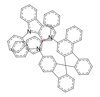 c1ccc(N(c2ccccc2)c2cc3c(c4ccccc24)-c2ccccc2C32c3ccccc3-c3ccc(N(c4ccccc4)c4cccc5c6ccccc6n(-c6ccccc6)c45)cc32)cc1